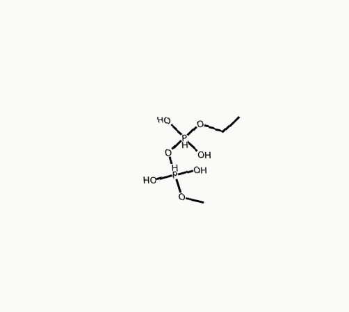 CCO[PH](O)(O)O[PH](O)(O)OC